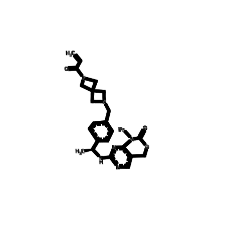 C=CC(=O)N1CC2(CN(Cc3ccc([C@H](C)Nc4ncc5c(n4)N(C(C)C)C(=O)OC5)cc3)C2)C1